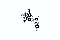 CC(C)(C)[S+]([O-])NC(CCC1CC1)(c1cccc(C#N)c1)c1ccc(F)c(NC(=O)[C@H]2C[C@H](O)CN2C(O)Nc2ccc(Cl)cc2)c1